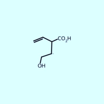 C=CC([CH]CO)C(=O)O